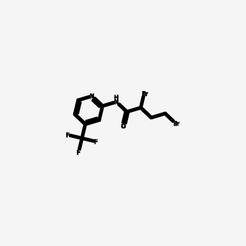 O=C(Nc1cc(C(F)(F)F)ccn1)C(Br)CCBr